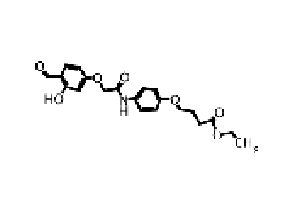 CCOC(=O)CCCOc1ccc(NC(=O)COc2ccc(C=O)c(O)c2)cc1